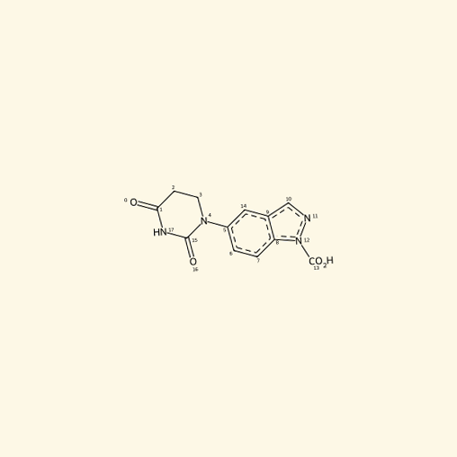 O=C1CCN(c2ccc3c(cnn3C(=O)O)c2)C(=O)N1